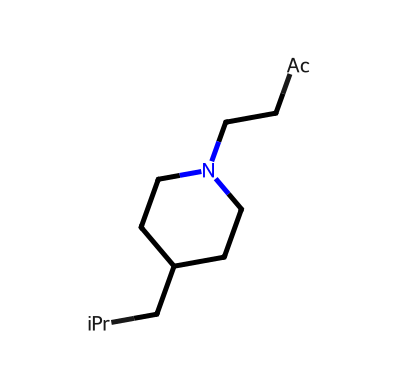 CC(=O)CCN1CCC(CC(C)C)CC1